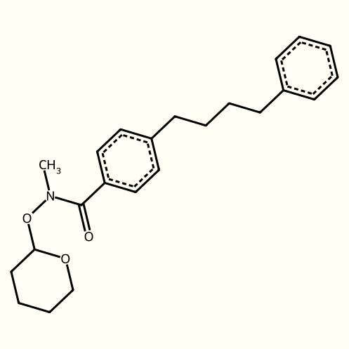 CN(OC1CCCCO1)C(=O)c1ccc(CCCCc2ccccc2)cc1